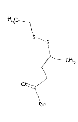 CCSSC(C)CCC(=O)O